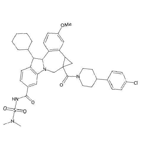 COc1ccc2c(c1)C1CC1(C(=O)N1CCC(c3ccc(Cl)cc3)CC1)CN1c3cc(C(=O)NS(=O)(=O)N(C)C)ccc3C(C3CCCCC3)C21